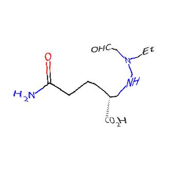 CCN(C=O)N[C@@H](CCC(N)=O)C(=O)O